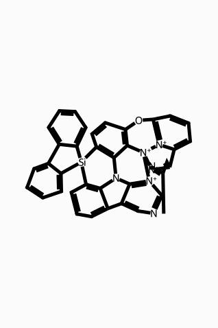 Cc1cc2n(n1)[N+]13c4c(ccc5c4-n4c6c(cccc6c6cnc[n+]1c64)[Si]51c4ccccc4-c4ccccc41)Oc1cccc-2[n+]13